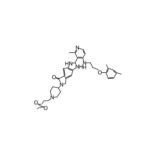 Cc1ccc(OCCCNc2ccnc(C)c2C2Nc3cc4c(cc3N2)C(=O)N(C2CCN(CCS(C)(=O)=O)CC2)C4)c(C)c1